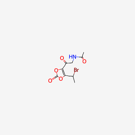 CC(=O)NCC(=O)c1oc(=O)oc1C(C)Br